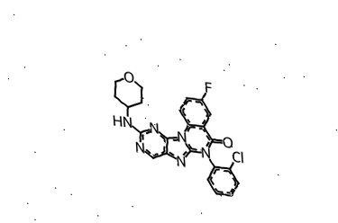 O=c1c2cc(F)ccc2n2c3nc(NC4CCOCC4)ncc3nc2n1-c1ccccc1Cl